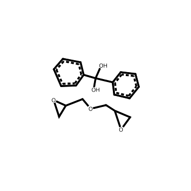 C(OCC1CO1)C1CO1.OC(O)(c1ccccc1)c1ccccc1